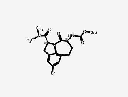 CN(C)C(=O)[C@@H]1Cc2cc(Br)cc3c2N1C(=O)[C@@H](NC(=O)OC(C)(C)C)CC3